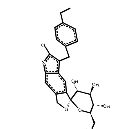 CCc1ccc(Cc2c(Cl)sc3cc4c(cc23)[C@]2(OC4)O[C@H](CO)[C@@H](O)[C@H](O)[C@H]2O)cc1